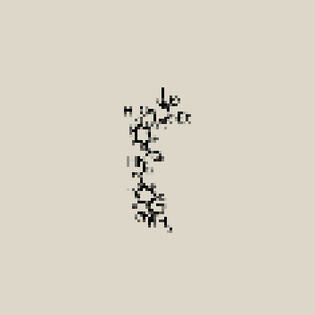 CCc1cc(-c2cncc(C(=O)NCCc3ccc(S(N)(=O)=O)cc3)c2)c(C)[nH]c1=O